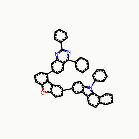 c1ccc(-c2nc(-c3ccccc3)c3ccc(-c4cccc5oc6ccc(-c7ccc8c(c7)c7ccc9ccccc9c7n8-c7ccccc7)cc6c45)cc3n2)cc1